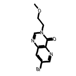 COCCn1cnc2cc(Br)cnc2c1=O